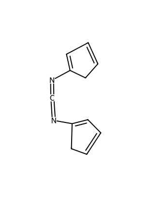 C(=NC1=CC=CC1)=NC1=CC=CC1